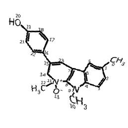 Cc1ccc2c(c1)c1c(n2C)[N+](C)([O-])CC(c2ccc(O)cc2)=C1